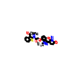 COC(=O)c1c(NC(=O)COc2cccc3c(C4CCC(=O)NC4=O)nn(C)c23)sc2c1CCCC2